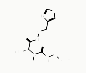 CCC[C@@H](C(=O)NOCc1cscn1)N(CC)C(=O)NOS(=O)(=O)O